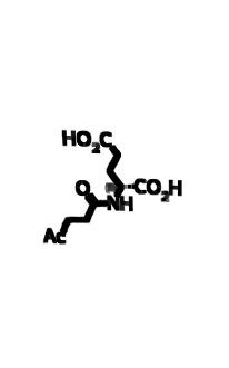 CC(=O)CCC(=O)N[C@H](CCC(=O)O)C(=O)O